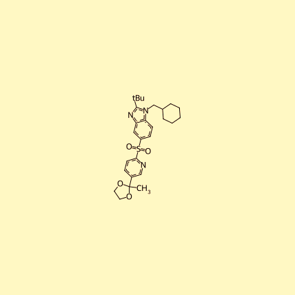 CC(C)(C)c1nc2cc(S(=O)(=O)c3ccc(C4(C)OCCO4)cn3)ccc2n1CC1CCCCC1